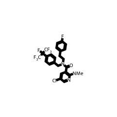 CNc1ncc(Cl)cc1C(=O)N(CCc1ccc(F)cc1)Cc1ccc(C(F)(C(F)(F)F)C(F)(F)F)cc1